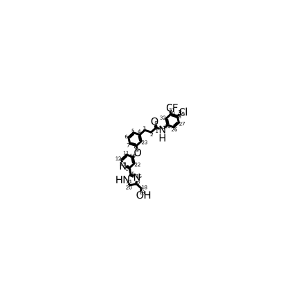 O=C(CCc1cccc(Oc2ccnc(C3=NC(CO)CN3)c2)c1)Nc1ccc(Cl)c(C(F)(F)F)c1